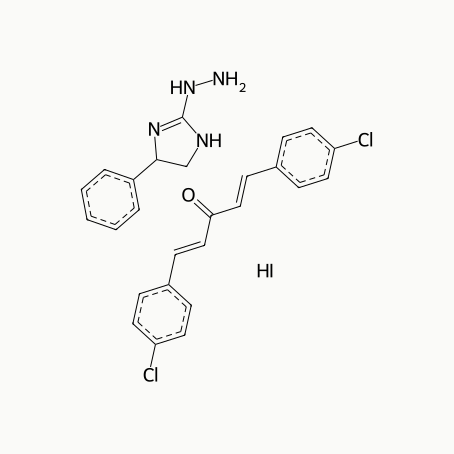 I.NNC1=NC(c2ccccc2)CN1.O=C(C=Cc1ccc(Cl)cc1)C=Cc1ccc(Cl)cc1